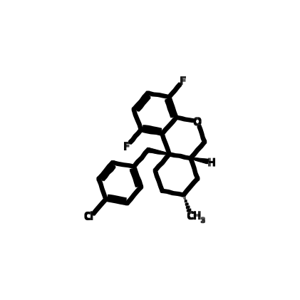 C[C@@H]1CC[C@]2(Cc3ccc(Cl)cc3)c3c(F)ccc(F)c3OC[C@@H]2C1